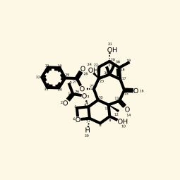 CC(=O)O[C@@]12CO[C@@H]1CC(O)[C@@]1(C)C(=O)C(=O)C3=C(C)[C@@H](O)C[C@@](O)([C@@H](OC(=O)c4ccccc4)C12)C3(C)C